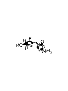 Nc1ncn(C[C@@H]2S[C@@H]3C(O)[C@@H]3[C@@H]2F)c(=O)n1